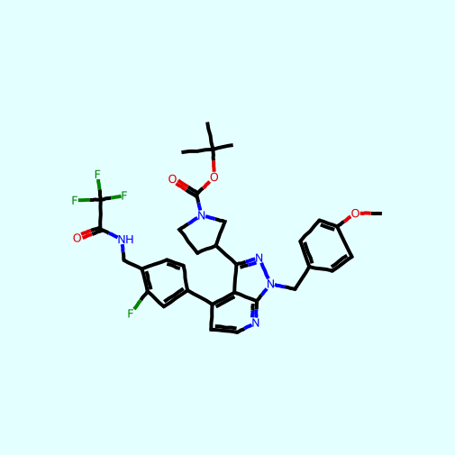 COc1ccc(Cn2nc(C3CCN(C(=O)OC(C)(C)C)C3)c3c(-c4ccc(CNC(=O)C(F)(F)F)c(F)c4)ccnc32)cc1